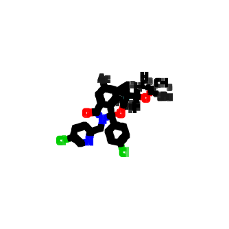 [2H]C([2H])(O[C@]1(c2ccc(Cl)cc2)c2c(F)cc(C(C)=O)cc2C(=O)N1Cc1ccc(Cl)cn1)C1(C([2H])([2H])O[Si](C)(C)C(C)(C)C)CC1